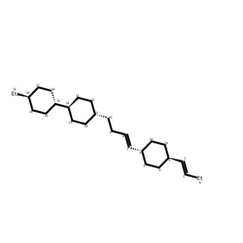 CCC=C[C@H]1CC[C@H](C=CCC[C@H]2CC[C@H]([C@H]3CC[C@H](CC)CC3)CC2)CC1